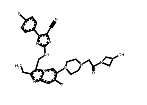 CCc1nc2cc(F)c(N3CCN(CC(=O)N4CC(O)C4)CC3)cn2c1CNc1nc(-c2ccc(F)cc2)c(C#N)s1